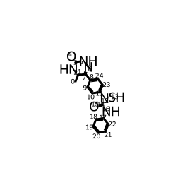 CC1NC(=O)NN=C1c1ccc(N(S)C(=O)Nc2ccccc2)cc1